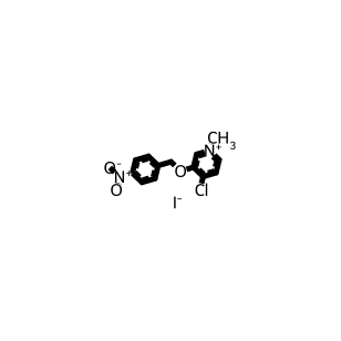 C[n+]1ccc(Cl)c(OCc2ccc([N+](=O)[O-])cc2)c1.[I-]